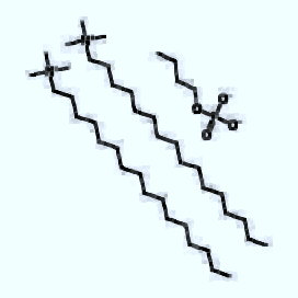 CCCCCCCCCCCCCCCC[N+](C)(C)C.CCCCCCCCCCCCCCCC[N+](C)(C)C.CCCCOP(=O)([O-])[O-]